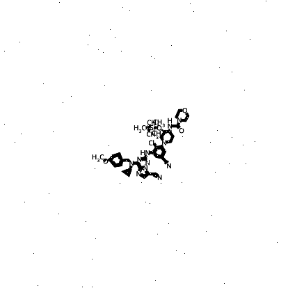 COc1ccc(CN(c2nc(Nc3cc(C#N)cc(N4CC[C@@H](NC(=O)N5CCOCC5)[C@H](O[Si](C)(C)C(C)(C)C)C4)c3Cl)nn3c(C#N)cnc23)C2CC2)cc1